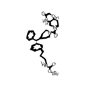 CC(C)(C)OC(=O)NCCCc1cccc([C@H](c2ccccc2)C2CCN(C(=O)N3CC[C@@H]4OCC(=O)N[C@@H]4C3)CC2)c1